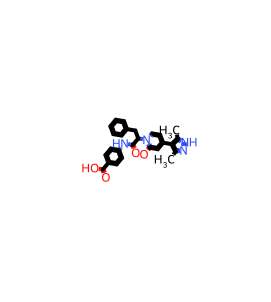 Cc1n[nH]c(C)c1-c1ccn(C(Cc2ccccc2)C(=O)Nc2ccc(C(=O)O)cc2)c(=O)c1